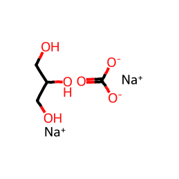 O=C([O-])[O-].OCC(O)CO.[Na+].[Na+]